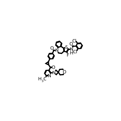 Cc1ccc(C(=O)C2CC2c2ccc(C(=O)N3CCc4c(sc(NC(=O)c5c(Cl)cccc5Cl)c4F)-c4ccccc43)cc2)c(N2CC3(CCOCC3)C2)n1